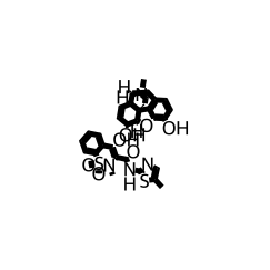 CN1CC[C@]23c4c5ccc(O)c4O[C@H]2[C@@H](O)C=C[C@H]3[C@H]1C5.Cc1cnc(NC(=O)C2=C(O)c3ccccc3S(=O)(=O)N2C)s1